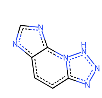 c1nc2ccc3nn[nH]n3c-2n1